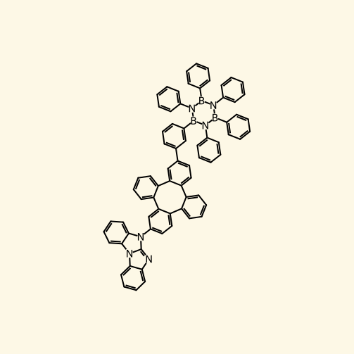 c1ccc(B2N(c3ccccc3)B(c3ccccc3)N(c3ccccc3)B(c3cccc(-c4ccc5c(c4)-c4ccccc4-c4cc(-n6c7ccccc7n7c8ccccc8nc67)ccc4-c4ccccc4-5)c3)N2c2ccccc2)cc1